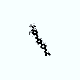 CCC(C)CCC1CCC(c2ccc(CCc3ccc(OC(F)(F)F)c(F)c3)cc2)CC1